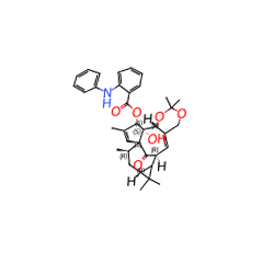 CC1=C[C@]23C(=O)[C@@H](C=C4COC(C)(C)O[C@H]4[C@]2(O)[C@H]1OC(=O)c1ccccc1Nc1ccccc1)C1[C@@H](C[C@H]3C)C1(C)C